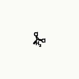 C[PH2](Cl)Cl